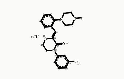 CN1CCN(c2ccccc2C=C2OCCN(c3cccc(C(F)(F)F)c3)C2=O)CC1.Cl